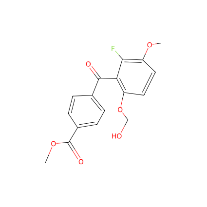 COC(=O)c1ccc(C(=O)c2c(OCO)ccc(OC)c2F)cc1